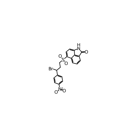 O=C1Nc2ccc(S(=O)(=O)CCC(Br)c3ccc([N+](=O)[O-])cc3)c3cccc1c23